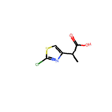 CC(C(=O)O)c1csc(Cl)n1